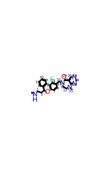 CNCCC(Oc1ccc(CN2CCN(C)c3ncncc3C2=O)c(F)c1)c1ccccc1